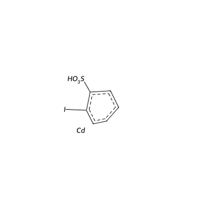 O=S(=O)(O)c1ccccc1I.[Cd]